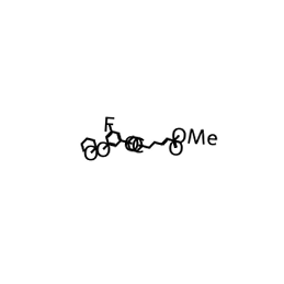 COC(=O)C=CCCC12CCC(c3cc(F)cc(OC4CCCCO4)c3)(CC1)OC2